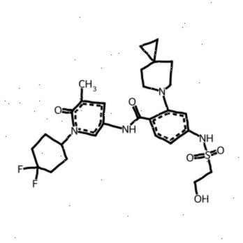 Cc1cc(NC(=O)c2ccc(NS(=O)(=O)CCO)cc2N2CCC3(CC2)CC3)cn(C2CCC(F)(F)CC2)c1=O